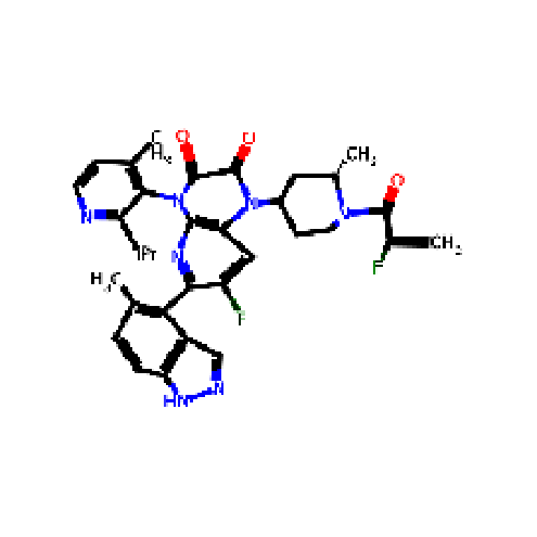 C=C(F)C(=O)N1CCC(n2c(=O)c(=O)n(-c3c(C)ccnc3C(C)C)c3nc(-c4c(C)ccc5[nH]ncc45)c(F)cc32)C[C@@H]1C